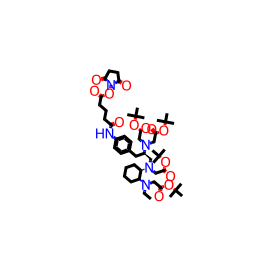 CCN(CC(=O)OC(C)(C)C)[C@H]1CCCC[C@@H]1N(CC(=O)OC(C)(C)C)C[C@@H](Cc1ccc(NC(=O)CCCC(=O)ON2C(=O)CCC2=O)cc1)N(CC(=O)OC(C)(C)C)CC(=O)OC(C)(C)C